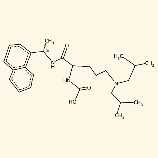 CC(C)CN(CCCC(NC(=O)O)C(=O)N[C@@H](C)c1cccc2ccccc12)CC(C)C